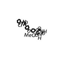 COCCC1(Oc2ccc(Oc3ccc(-c4nc(-c5ccccc5Cl)no4)cc3)cc2)C(=O)NC(=O)NC1=O